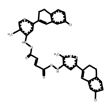 Cc1cnc(C2=Cc3cc(Cl)ccc3CC2)cc1NOC(=O)/C=C/C(=O)ONc1cc(C2=Cc3cc(Cl)ccc3CC2)ncc1C